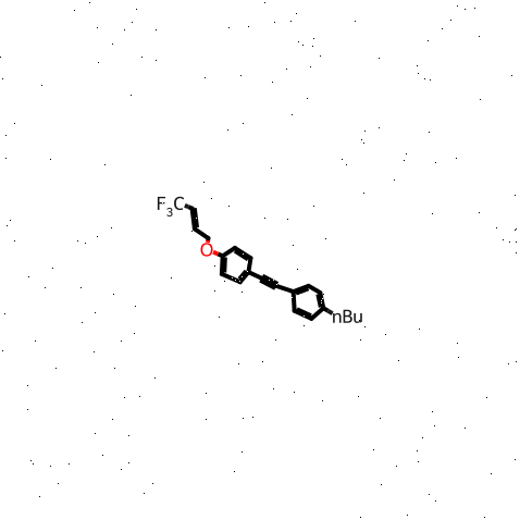 CCCCc1ccc(C#Cc2ccc(OCC=CC(F)(F)F)cc2)cc1